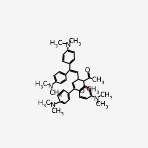 CC(=O)C(C(C)=O)C(C=C(c1ccc(N(C)C)cc1)c1ccc(N(C)C)cc1)C=C(c1ccc(N(C)C)cc1)c1ccc(N(C)C)cc1